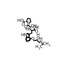 CC(C)NCC(O)COc1cccc2[nH]cc(CC(N[C@@H](C)C(=O)N3CCC[C@H]3C(=O)O)C(=O)O)c12